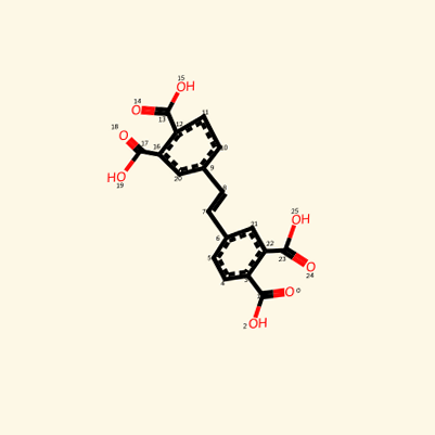 O=C(O)c1ccc(C=Cc2ccc(C(=O)O)c(C(=O)O)c2)cc1C(=O)O